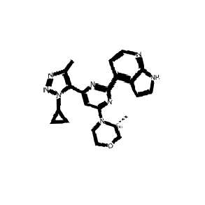 Cc1nnn(C2CC2)c1-c1cc(N2CCOC[C@H]2C)nc(-c2ccnc3[nH]ccc23)n1